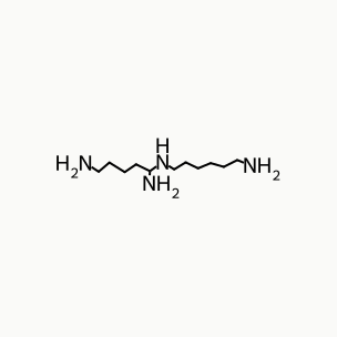 NCCCCCCNC(N)CCCCN